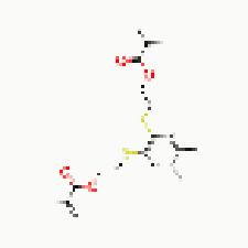 C=C(C)C(=O)OCCSc1[c]c(C)c(C)[c]c1SCCOC(=O)C(=C)C